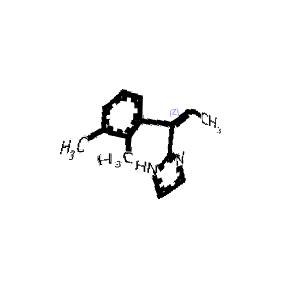 C/C=C(\c1ncc[nH]1)c1cccc(C)c1C